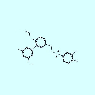 N#Cc1cc(F)cc(-c2cc(CNS(=O)(=O)c3ccc(F)c(F)c3)ccc2OCC(=O)O)c1